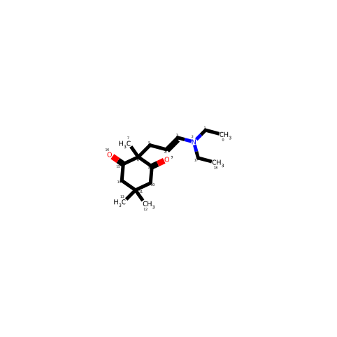 CCN(/C=C/CC1(C)C(=O)CC(C)(C)CC1=O)CC